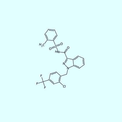 Cc1ccccc1S(=O)(=O)NC(=O)c1nn(Cc2ccc(C(F)(F)F)cc2Cl)c2ccccc12